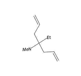 [C]NC(CC)(CC=C)CC=C